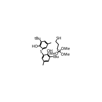 CO[Si](CCCS)(OC)OC.Cc1cc(Sc2cc(C)cc(C(C)(C)C)c2O)c(O)c(C(C)(C)C)c1